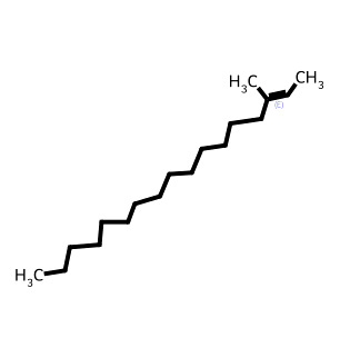 C/C=C(\C)CCCCCCCCCCCCCC